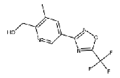 Cc1cc(-c2noc(C(F)(F)F)n2)cnc1CO